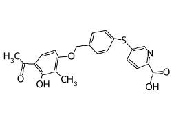 CC(=O)c1ccc(OCc2ccc(Sc3ccc(C(=O)O)nc3)cc2)c(C)c1O